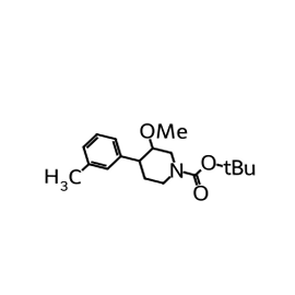 COC1CN(C(=O)OC(C)(C)C)CCC1c1cccc(C)c1